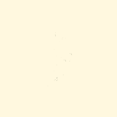 O=CN[C@H]1CC[C@H](n2c(=O)[nH]c3cc(C(F)(F)F)ccc32)CC1